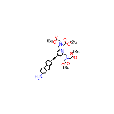 CC(C)(C)OC(=O)CN(CC(=O)OC(C)(C)C)Cc1cc(C#Cc2ccc3c(c2)Cc2cc(N)ccc2-3)cc(CN(CC(=O)OC(C)(C)C)CC(=O)OC(C)(C)C)n1